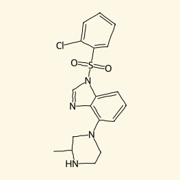 CC1CN(c2cccc3c2ncn3S(=O)(=O)c2ccccc2Cl)CCN1